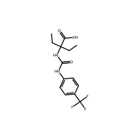 CCC(CC)(NC(=O)Nc1ccc(C(F)(F)F)cc1)C(=O)O